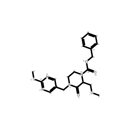 COCC1C(=O)N(Cc2cnc(SC)nc2)CCN1C(=O)OCc1ccccc1